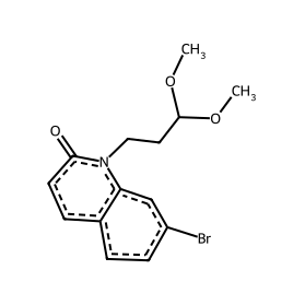 COC(CCn1c(=O)ccc2ccc(Br)cc21)OC